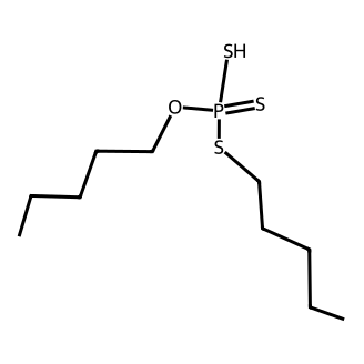 CCCCCOP(=S)(S)SCCCCC